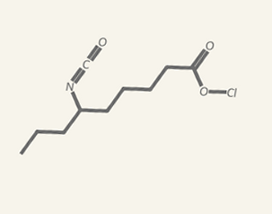 CCCC(CCCCC(=O)OCl)N=C=O